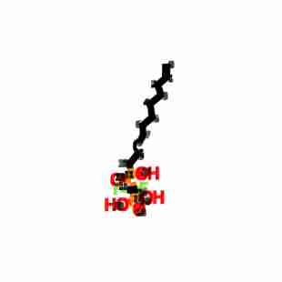 C=CCCCCCCCCCP(=O)(O)C(F)(F)P(=O)(O)O